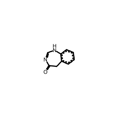 O=C1Cc2ccccc2NC=N1